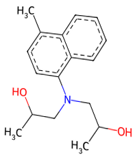 Cc1ccc(N(CC(C)O)CC(C)O)c2ccccc12